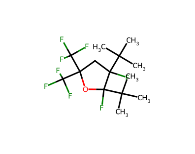 CC(C)(C)C1(F)CC(C(F)(F)F)(C(F)(F)F)OC1(F)C(C)(C)C